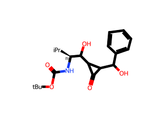 CC(C)[C@H](NC(=O)OC(C)(C)C)C(O)C1C(=O)C1C(O)c1ccccc1